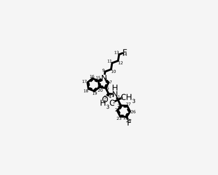 CC(C)(NC(=O)c1cn(CCCCCF)c2ccccc12)c1ccc(F)cc1